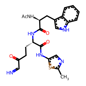 CC(=O)N[C@@H](Cc1c[nH]c2ccccc12)C(=O)N[C@@H](CCC(=O)C=N)C(=O)Nc1cnc(C)s1